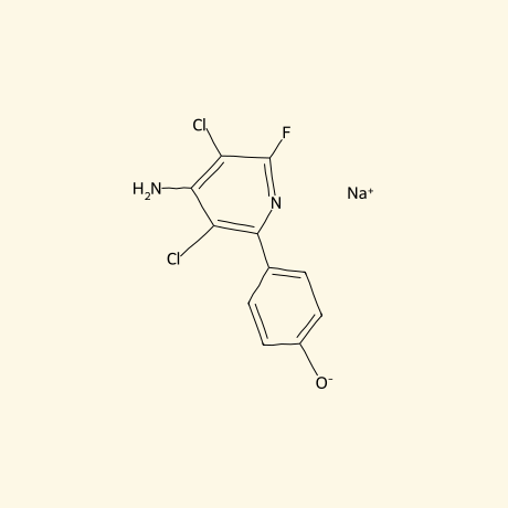 Nc1c(Cl)c(F)nc(-c2ccc([O-])cc2)c1Cl.[Na+]